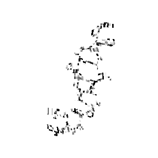 Cc1nc(Oc2ccc3c(c2)cc(C(=O)N2CCN(C(=O)OC(C)(C)C)CC2)n3C)ccc1[N+](=O)[O-]